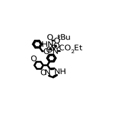 CCOC(=O)CN(c1ccc(C(C2=CNC=CC=N2)C2CC(=O)CCC2=O)cc1OCc1ccccc1)S(=O)(=O)NC(=O)OC(C)(C)C